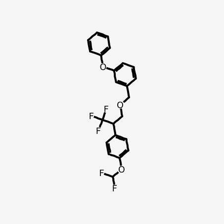 FC(F)Oc1ccc(C(COCc2cccc(Oc3ccccc3)c2)C(F)(F)F)cc1